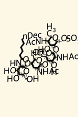 CCCCCCCCCCCCCCCC(=O)N[C@H]1[C@H](O[C@H]2C[C@@H](NC(C)=O)[C@H](O[C@H]3[C@H](O)[C@@H](NC(C)=O)[C@H](O[C@H]4C(O)[C@@H](NC(C)=O)C(C)O[C@@H]4COS(=O)(=O)O)O[C@@H]3CO)O[C@@H]2CO)O[C@H](CO)[C@@H](O)[C@@H]1O